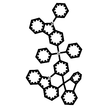 c1ccc(-n2c3ccccc3c3cc([Si](c4ccccc4)(c4ccccc4)c4ccc5c(c4)-n4c6ccccc6c6cccc(c64)C54c5ccccc5-c5ccccc54)ccc32)cc1